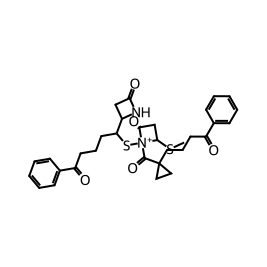 CSC1CC(=O)[N+]1(SC(CCCC(=O)c1ccccc1)C1CC(=O)N1)C(=O)C1(CCCC(=O)c2ccccc2)CC1